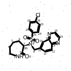 O=C1NCCCC[C@H]1N(Cc1ccc2nccnc2c1)S(=O)(=O)c1ccc(Cl)cc1